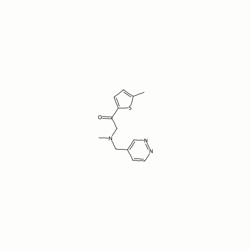 Cc1ccc(C(=O)CN(C)Cc2ccnnc2)s1